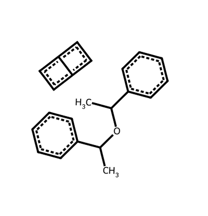 CC(OC(C)c1ccccc1)c1ccccc1.c1cc2ccc1-2